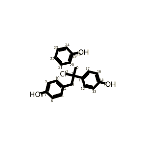 CC(Cl)(Cc1ccc(O)cc1)c1ccc(O)cc1.Oc1ccccc1